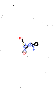 OCCCSc1nc(N/N=C\c2c[nH]c3ccccc23)cc(N2CCOCC2)n1